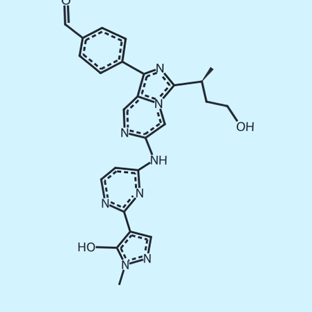 C[C@@H](CCO)c1nc(-c2ccc(C=O)cc2)c2cnc(Nc3ccnc(-c4cnn(C)c4O)n3)cn12